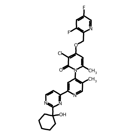 Cc1cnc(-c2ccnc(C3(O)CCCCC3)n2)cc1-n1c(C)cc(OCc2ncc(F)cc2F)c(Cl)c1=O